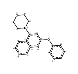 c1cncc(Oc2nc(N3CCOCC3)c3ccncc3n2)c1